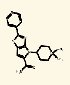 C[Si]1(C)CCC(n2c(C(N)=O)cc3sc(-c4ccncc4)nc32)CC1